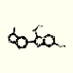 COc1cc2nc(-c3ccc4onc(C)c4c3)c(NC(C)(C)C)n2cn1